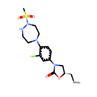 CC(=O)NC[C@H]1CN(c2ccc(N3CCNN(S(C)(=O)=O)CC3)c(F)c2)C(=O)O1